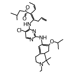 C=CC/C(Nc1nc(NC2=C(OC(C)C)CC3C(=C2)CCN(CC)C3(C)C)ncc1Cl)=C(\C=C/C)S(=O)(=O)CC(C)C